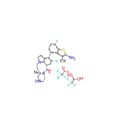 N#Cc1c(N)sc2c(F)ccc(-c3c(F)cc4c5c3ccn5CC[C@H]3CNCCN3C4=O)c12.O=C(O)C(F)(F)F.O=C(O)C(F)(F)F